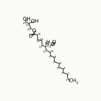 CCCCCCCCCCCCCCCCCC(=O)OCC(O)CO.O.O